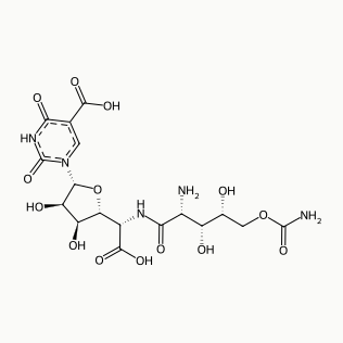 NC(=O)OC[C@@H](O)[C@H](O)[C@@H](N)C(=O)N[C@H](C(=O)O)[C@H]1O[C@@H](n2cc(C(=O)O)c(=O)[nH]c2=O)[C@H](O)[C@@H]1O